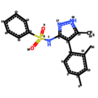 Cc1ccc(-c2c(NS(=O)(=O)c3ccccc3)n[nH]c2C(F)(F)F)c(C)c1